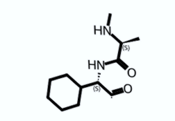 CN[C@@H](C)C(=O)N[C@H]([C]=O)C1CCCCC1